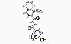 C/C=C(\C=C/CC)C(=O)CCC(=O)c1ccc2c(c1C#N)CCCC2